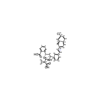 O=C(O)c1ccccc1CCC(NC(=O)C1(C(=O)O)CC1)c1cccc(/C=C/c2ccc3ccc(Cl)cc3n2)c1